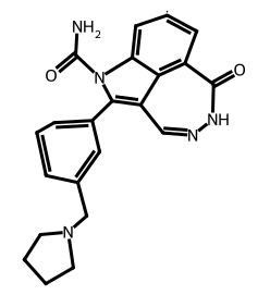 NC(=O)n1c(-c2cccc(CN3CCCC3)c2)c2c3c(c[c]cc31)C(=O)NN=C2